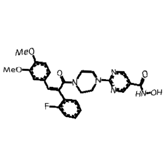 COc1ccc(C=C(C(=O)N2CCN(c3ncc(C(=O)NO)cn3)CC2)c2ccccc2F)cc1OC